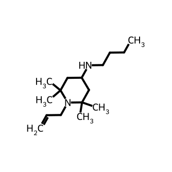 C=CCN1C(C)(C)CC(NCCCC)CC1(C)C